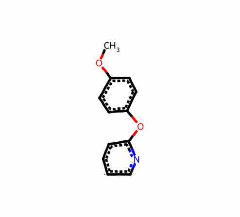 COc1ccc(Oc2cc[c]cn2)cc1